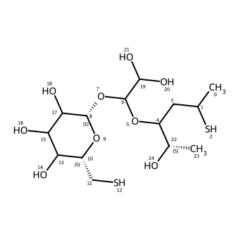 CC(S)CC(OC(O[C@@H]1O[C@H](CS)C(O)C(O)C1O)C(O)O)[C@H](C)O